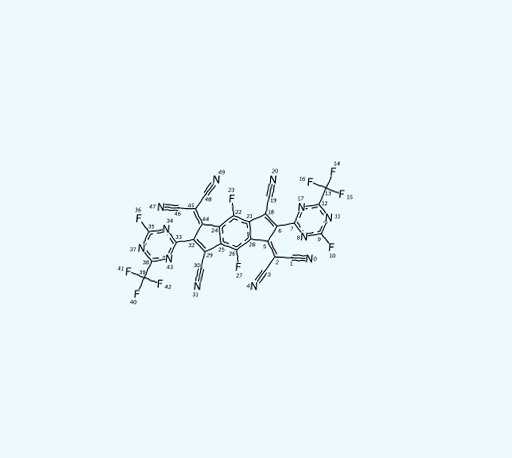 N#CC(C#N)=C1C(c2nc(F)nc(C(F)(F)F)n2)=C(C#N)c2c(F)c3c(c(F)c21)C(C#N)=C(c1nc(F)nc(C(F)(F)F)n1)C3=C(C#N)C#N